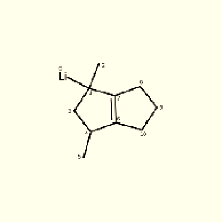 [Li][C]1(C)CC(C)C2=C1CCC2